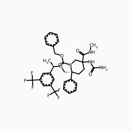 CNC(=O)C1(NC(N)=O)CC[C@@](CO[C@H](C)c2cc(C(F)(F)F)cc(C(F)(F)F)c2)(c2ccccc2)N(C(=O)OCc2ccccc2)C1